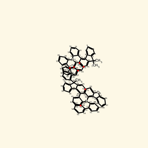 CC1(C)c2ccccc2-c2c(-c3ccccc3N(c3ccccc3-c3cccc4c(C5(C)c6ccccc6-c6c(-c7ccccc7N(c7ccccc7-c7ccccc7)c7cccc8oc9ccccc9c78)cccc65)cccc34)c3cccc4oc5ccccc5c34)cccc21